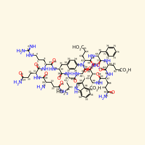 N=C(N)NCCC[C@H](NC(=O)[C@H](CCC(N)=O)NC(=O)[C@@H](N)CCC(N)=O)C(=O)N[C@@H](Cc1ccccc1)C(=O)N[C@@H](CCC(=O)O)C(=O)N[C@@H](Cc1c[nH]c2ccccc12)C(=O)N[C@@H](CCC(=O)O)C(=O)N[C@@H](Cc1ccccc1)C(=O)N[C@@H](CCC(=O)O)C(=O)N[C@@H](CCC(N)=O)C(=O)N[C@@H](CCC(N)=O)C(=O)O